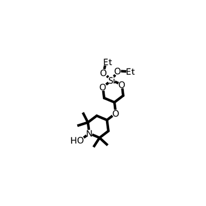 CCO[Si]1(OCC)OCC(OC2CC(C)(C)N(O)C(C)(C)C2)CO1